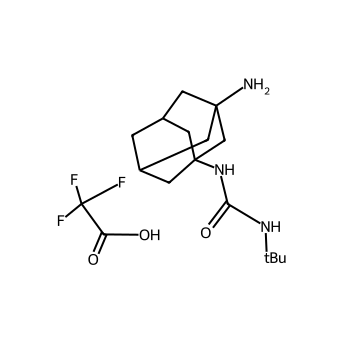 CC(C)(C)NC(=O)NC12CC3CC(CC(N)(C3)C1)C2.O=C(O)C(F)(F)F